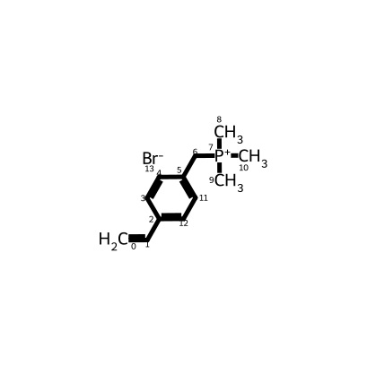 C=Cc1ccc(C[P+](C)(C)C)cc1.[Br-]